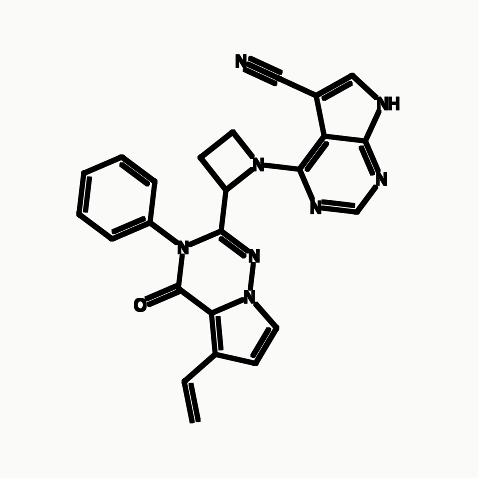 C=Cc1ccn2nc(C3CCN3c3ncnc4[nH]cc(C#N)c34)n(-c3ccccc3)c(=O)c12